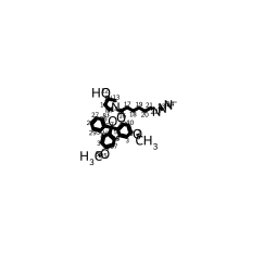 COc1ccc(C(OC[C@@H]2C[C@@H](O)CN2C(=O)CCCCCN=[N+]=[N-])(c2ccccc2)c2ccc(OC)cc2)cc1